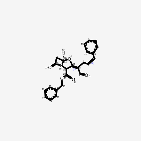 O=C/C(C/C=C\c1ccccc1)=C1/O[C@@H]2CC(=O)N2C1C(=O)OCc1ccccc1